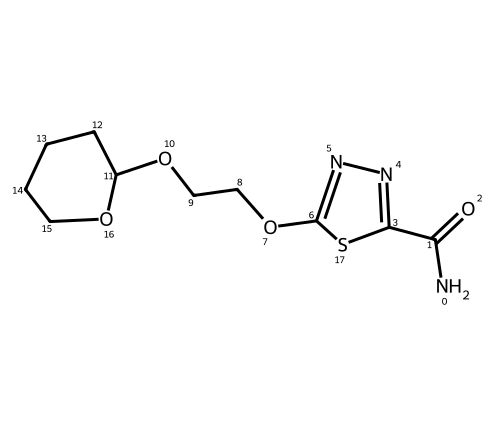 NC(=O)c1nnc(OCCOC2CCCCO2)s1